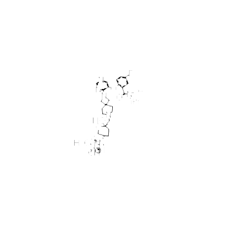 CC(C)N(C(=O)c1cc(F)ccc1Oc1cncnc1N1CC2(CCN(C[C@@]3(O)CC[C@@H](NS(=O)(=O)N(C)C)CO3)CC2)C1)C(C)C